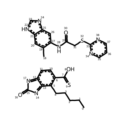 CCCCCc1c(C(O)=S)ccc2c1=NC(=O)N=2.Cc1cc2[nH]cnc2cc1NC(=O)CSc1ncccn1